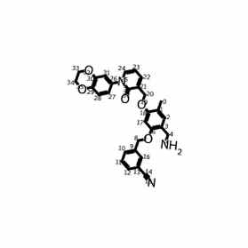 Cc1cc(CN)c(OCc2cccc(C#N)c2)cc1OCc1cccn(-c2ccc3c(c2)OCCO3)c1=O